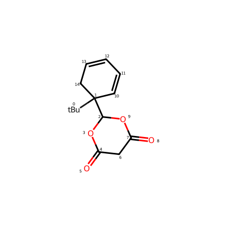 CC(C)(C)C1(C2OC(=O)CC(=O)O2)C=CC=CC1